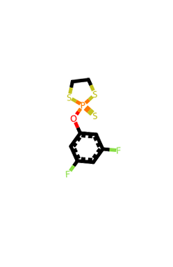 Fc1cc(F)cc(OP2(=S)SCCS2)c1